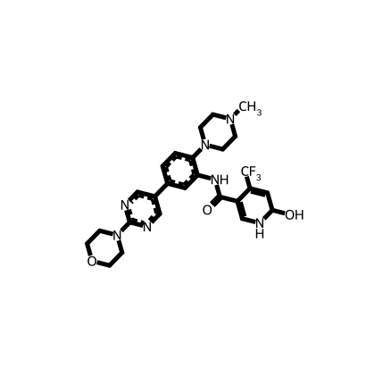 CN1CCN(c2ccc(-c3cnc(N4CCOCC4)nc3)cc2NC(=O)C2=CNC(O)C=C2C(F)(F)F)CC1